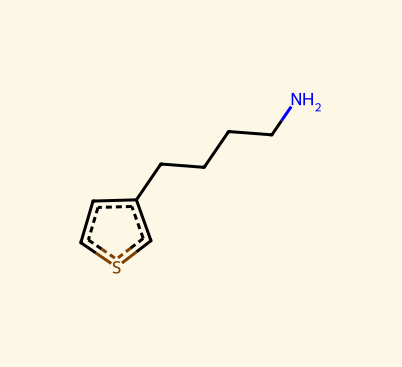 NCCCCc1ccsc1